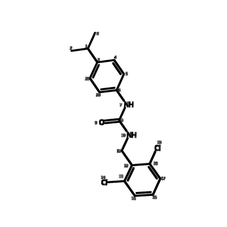 CC(C)c1ccc(NC(=O)NCc2c(Cl)cccc2Cl)cc1